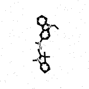 CCn1c2ccccc2c2cc(N(C)N=CC3=[N+](C)c4ccccc4C3(C)C)ccc21